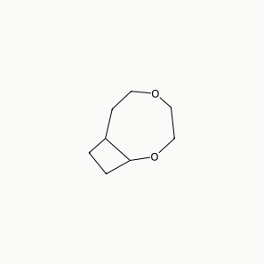 C1COC2CCC2CCO1